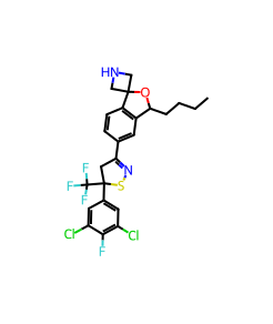 CCCCC1OC2(CNC2)c2ccc(C3=NSC(c4cc(Cl)c(F)c(Cl)c4)(C(F)(F)F)C3)cc21